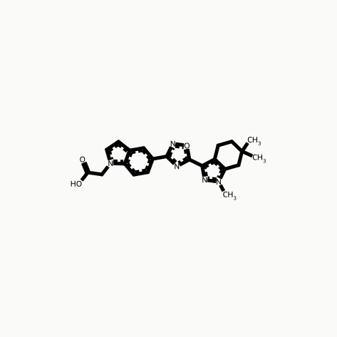 Cn1nc(-c2nc(-c3ccc4c(ccn4CC(=O)O)c3)no2)c2c1CC(C)(C)CC2